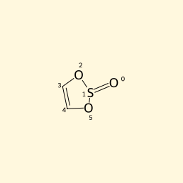 O=S1OC=CO1